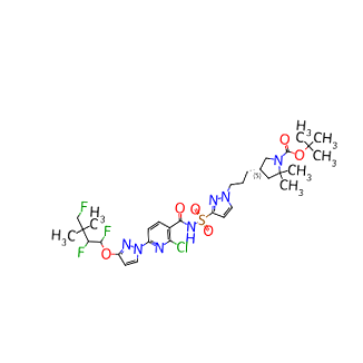 CC(C)(C)OC(=O)N1C[C@@H](CCCn2ccc(S(=O)(=O)NC(=O)c3ccc(-n4ccc(OC(F)C(F)C(C)(C)CF)n4)nc3Cl)n2)CC1(C)C